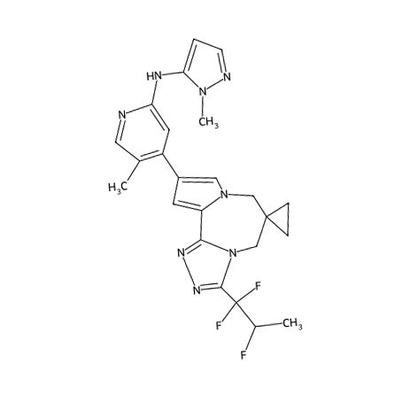 Cc1cnc(Nc2ccnn2C)cc1-c1cc2n(c1)CC1(CC1)Cn1c-2nnc1C(F)(F)C(C)F